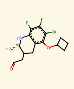 C[C@@H]1Nc2c(F)c(F)c(Br)c(OC3CCC3)c2CC1CC=O